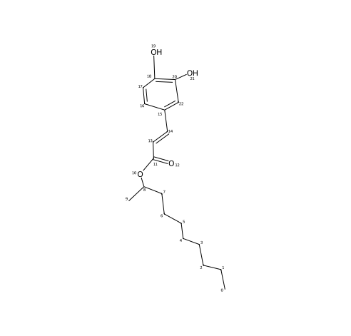 CCCCCCCCC(C)OC(=O)C=Cc1ccc(O)c(O)c1